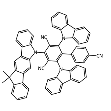 CC1(C)c2ccccc2-c2cc3c(cc21)c1ccccc1n3-c1c(C#N)c(-n2c3ccccc3c3ccccc32)c(-c2ccc(C#N)cc2)c(-n2c3ccccc3c3ccccc32)c1C#N